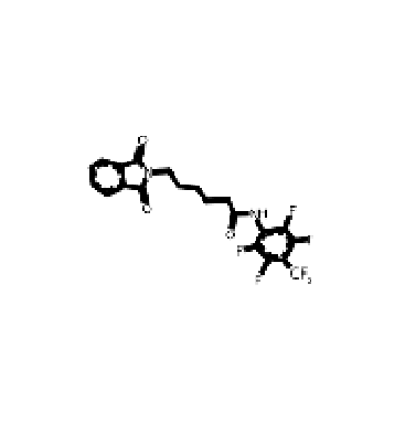 O=C(CCCCCN1C(=O)c2ccccc2C1=O)Nc1c(F)c(F)c(C(F)(F)F)c(F)c1F